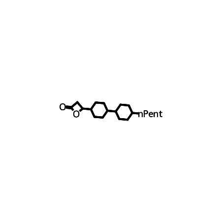 CCCCCC1CCC(C2CCC(C3CC(=O)O3)CC2)CC1